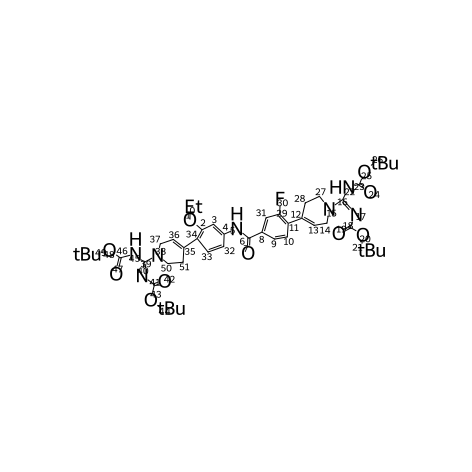 CCOc1cc(NC(=O)c2ccc(C3=CCN(/C(=N\C(=O)OC(C)(C)C)NC(=O)OC(C)(C)C)CC3)c(F)c2)ccc1C1=CCN(/C(=N\C(=O)OC(C)(C)C)NC(=O)OC(C)(C)C)CC1